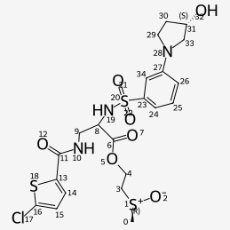 C[S@+]([O-])CCOC(=O)C(CNC(=O)c1ccc(Cl)s1)NS(=O)(=O)c1cccc(N2CC[C@H](O)C2)c1